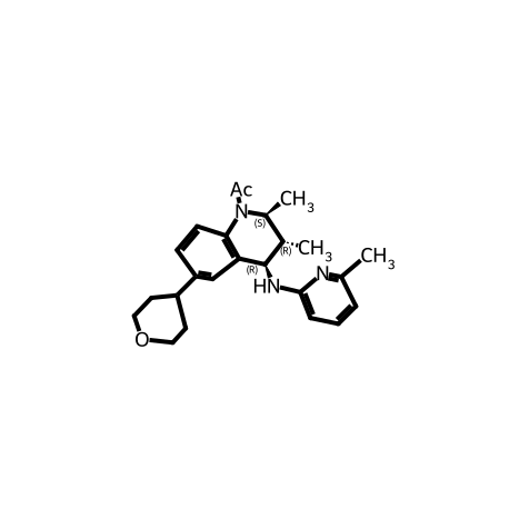 CC(=O)N1c2ccc(C3CCOCC3)cc2[C@H](Nc2cccc(C)n2)[C@@H](C)[C@@H]1C